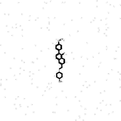 CCC[C@H]1CC[C@H](CCc2ccc3c(F)c(-c4ccc(OC(F)(F)F)cc4)ccc3c2)CC1